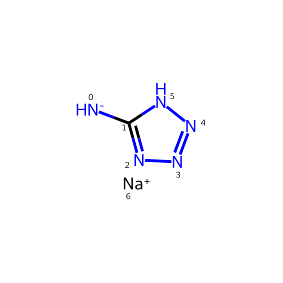 [NH-]c1nnn[nH]1.[Na+]